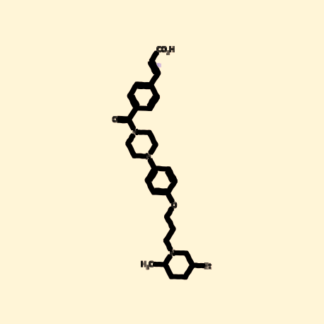 CCC1CCC(C)N(CCCOc2ccc(N3CCN(C(=O)c4ccc(/C=C/C(=O)O)cc4)CC3)cc2)C1